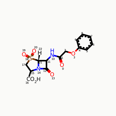 O=C(COc1ccccc1)NC1C(=O)N2C(C(=O)O)CS(=O)(=O)[C@H]12